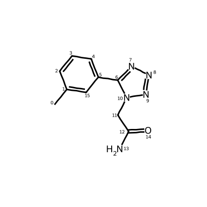 Cc1cccc(-c2nnnn2CC(N)=O)c1